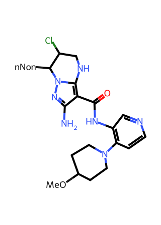 CCCCCCCCCC1C(Cl)CNc2c(C(=O)Nc3cnccc3N3CCC(OC)CC3)c(N)nn21